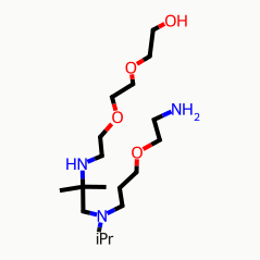 CC(C)N(CCCOCCN)CC(C)(C)NCCOCCOCCO